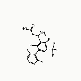 Cc1cccc(C)c1-c1cc(C(F)(F)F)c(F)c(C(N)CC(=O)O)c1F